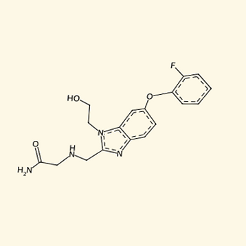 NC(=O)CNCc1nc2ccc(Oc3ccccc3F)cc2n1CCO